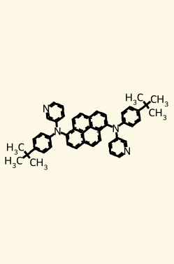 CC(C)(C)c1ccc(N(c2cccnc2)c2ccc3ccc4c(N(c5ccc(C(C)(C)C)cc5)c5cccnc5)ccc5ccc2c3c54)cc1